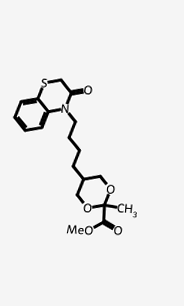 COC(=O)C1(C)OCC(CCCCN2C(=O)CSc3ccccc32)CO1